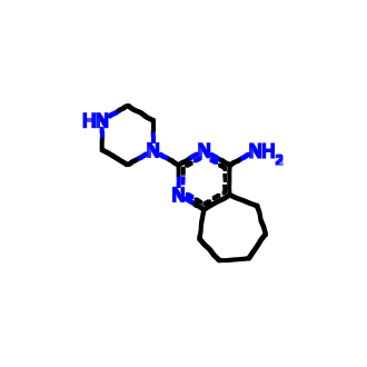 Nc1nc(N2CCNCC2)nc2c1CCCCC2